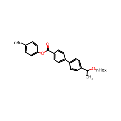 CCCCCCOC(C)c1ccc(-c2ccc(C(=O)Oc3ccc(CCCC)cc3)cc2)cc1